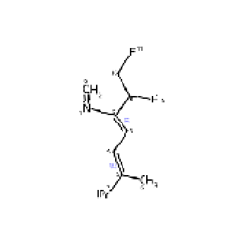 C=N/C(=C\C=C(/C)C(C)C)C(F)CF